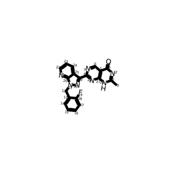 Cc1nc(=O)c2cnc(-c3nn(Cc4ccccc4F)c4ncccc34)nc2[nH]1